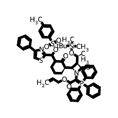 C=CCOC(=O)C(N1C(=O)[C@H]([C@@H](C)O[Si](C)(C)C(C)(C)C)[C@H]1[C@H]1CCCC(C(OS(=O)(=O)c2ccc(C)cc2)c2nc(-c3ccccc3)cs2)C1=O)=P(c1ccccc1)(c1ccccc1)c1ccccc1